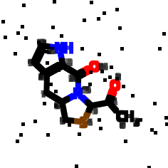 CC(=O)C1SCC2Cc3cc[nH]c3C(=O)N21